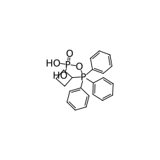 O=P(O)(O)OP(c1ccccc1)(c1ccccc1)(c1ccccc1)C1CCC1